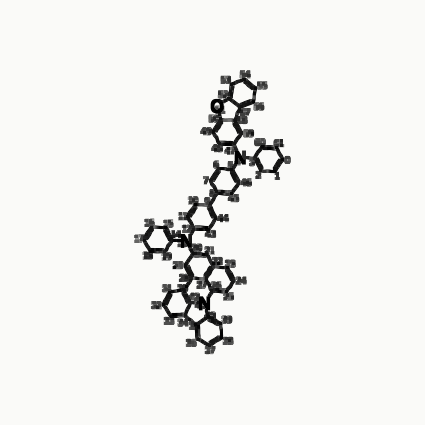 c1ccc(N(c2ccc(-c3ccc(N(c4ccccc4)c4cc5cccc6c5c(c4)c4cccc5c7ccccc7n6c45)cc3)cc2)c2ccc3oc4ccccc4c3c2)cc1